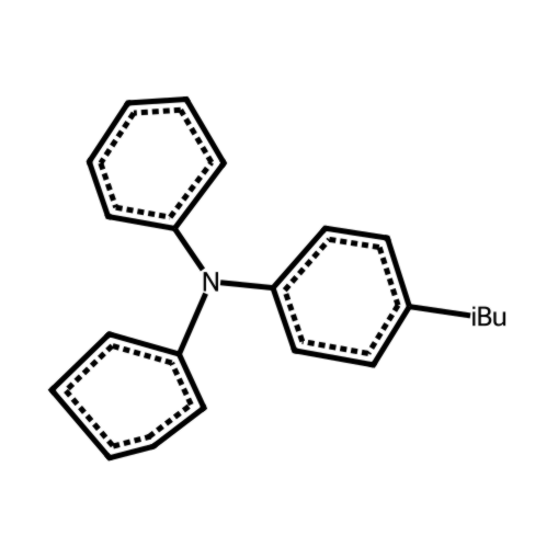 CCC(C)c1ccc(N(c2ccccc2)c2ccccc2)cc1